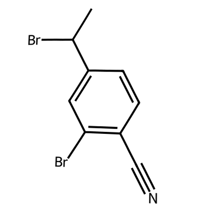 CC(Br)c1ccc(C#N)c(Br)c1